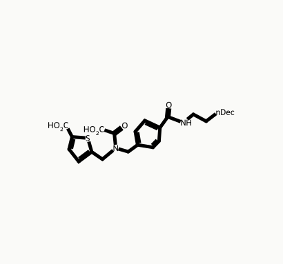 CCCCCCCCCCCCNC(=O)c1ccc(CN(Cc2ccc(C(=O)O)s2)C(=O)C(=O)O)cc1